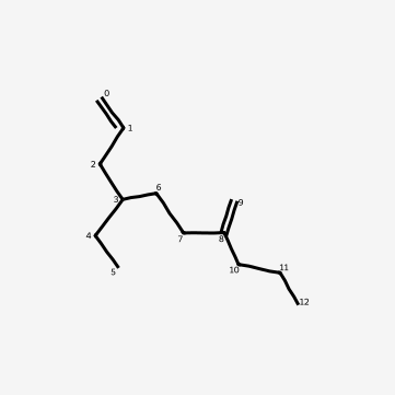 C=CCC(CC)CCC(=C)CCC